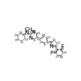 CN(c1ncc(-c2ccc(C3CCC(c4c(F)cccc4F)=N3)cc2)cn1)C1CCCCC1